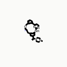 C=C(c1cc2cc(c1)Nc1nccc(n1)-c1cccc(c1)CO/C=C/C2)N1CCN(C)CC1